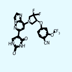 N#Cc1ccc(O[C@H]2CN(c3cc(-c4c[nH]c(=O)[nH]c4=O)nn4ccnc34)CC2(F)F)cc1OC(F)(F)F